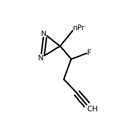 C#CCC(F)C1(CCC)N=N1